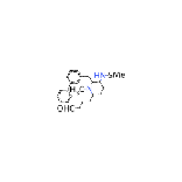 CSNC1CCC(CCCC=O)N(C)C1Cc1cccc(-c2ccccc2)c1